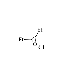 CCC1OC1CC.[KH]